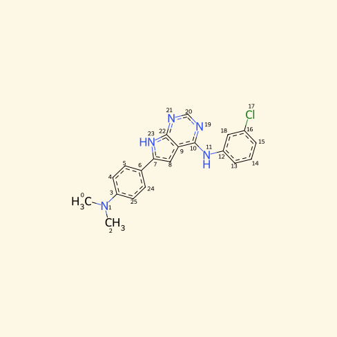 CN(C)c1ccc(-c2cc3c(Nc4cccc(Cl)c4)ncnc3[nH]2)cc1